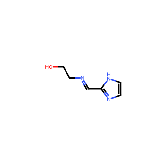 OCC/N=C/c1ncc[nH]1